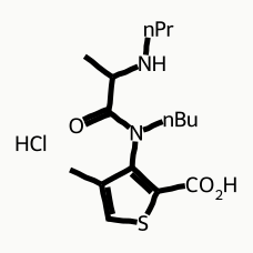 CCCCN(C(=O)C(C)NCCC)c1c(C)csc1C(=O)O.Cl